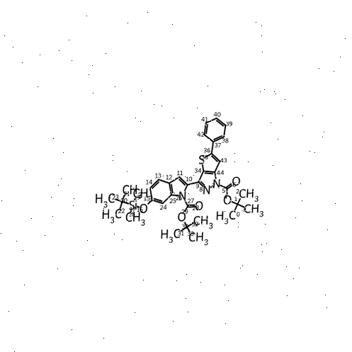 CC(C)(C)OC(=O)n1nc(-c2cc3ccc(O[Si](C)(C)C(C)(C)C)cc3n2C(=O)OC(C)(C)C)c2sc(-c3ccccc3)cc21